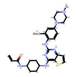 C=CC(=O)N[C@H]1CC[C@@H](Nc2nc(Nc3ccc(N4CCN(C(C)=O)CC4)cc3OC)nc3ccsc23)CC1